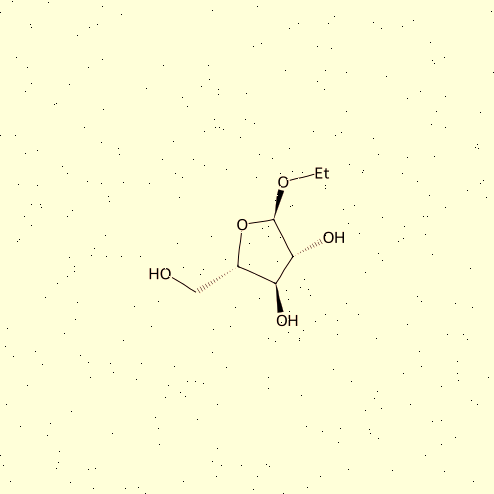 CCO[C@@H]1O[C@@H](CO)[C@H](O)[C@H]1O